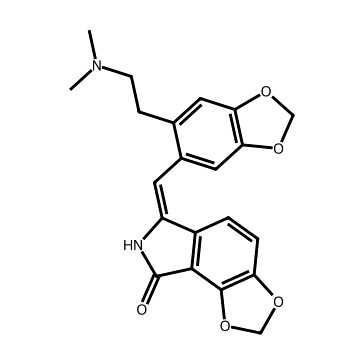 CN(C)CCc1cc2c(cc1/C=C1/NC(=O)c3c1ccc1c3OCO1)OCO2